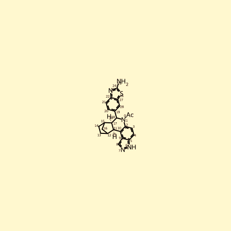 CC(=O)N1c2ccc3[nH]ncc3c2[C@H]2C3CCC(C3)[C@H]2C1c1ccc2nc(N)sc2c1